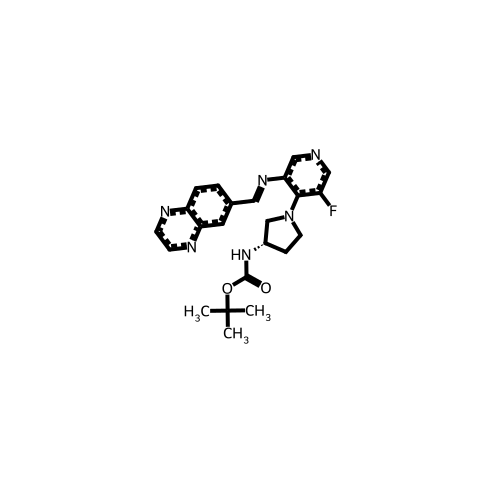 CC(C)(C)OC(=O)N[C@H]1CCN(c2c(F)cncc2/N=C/c2ccc3nccnc3c2)C1